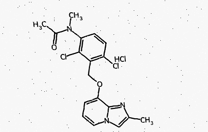 CC(=O)N(C)c1ccc(Cl)c(COc2cccn3cc(C)nc23)c1Cl.Cl